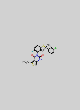 CC(C)(Sc1ccc(F)c(-n2c(=O)[nH]c3csc(C(=O)O)c3c2=O)c1)c1cccc(Cl)c1